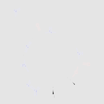 O=C1NCCCNC(=O)c2nc(ccc2-c2cccnc2)Nc2cc([nH]n2)[C@H]2CC[C@H](C2)O1